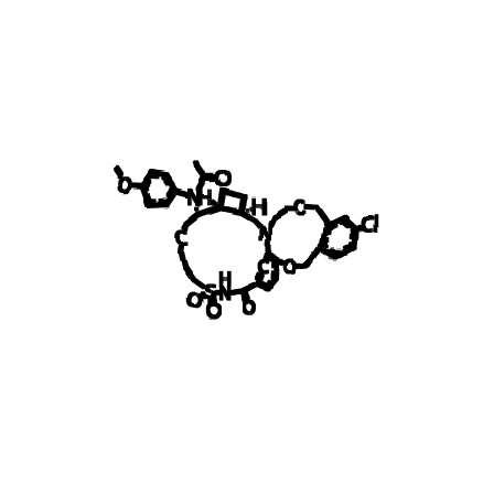 COc1ccc(N(C(C)=O)[C@H]2CCCCCS(=O)(=O)NC(=O)c3ccc4c(c3)N(CCCCc3cc(Cl)ccc3CO4)C[C@@H]3CC[C@H]32)cc1